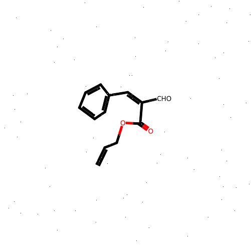 C=CCOC(=O)C(C=O)=Cc1ccccc1